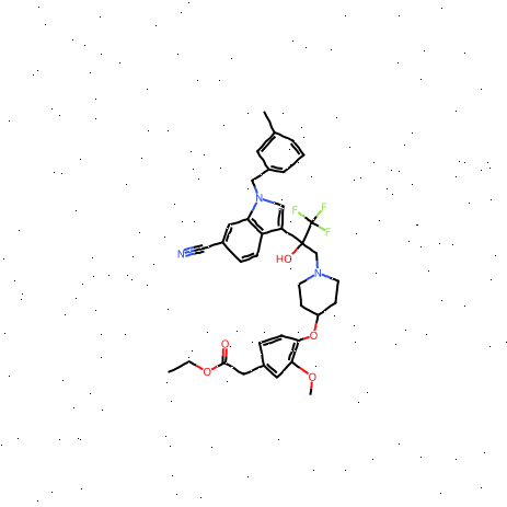 CCOC(=O)Cc1ccc(OC2CCN(CC(O)(c3cn(Cc4cccc(C)c4)c4cc(C#N)ccc34)C(F)(F)F)CC2)c(OC)c1